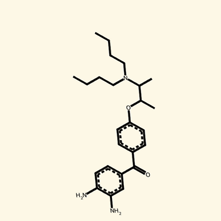 CCCCN(CCCC)C(C)C(C)Oc1ccc(C(=O)c2ccc(N)c(N)c2)cc1